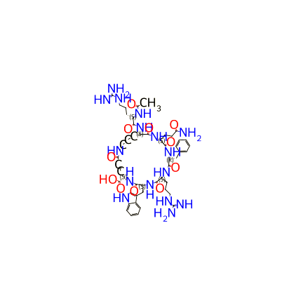 CC(=O)N[C@@H](CCCNC(=N)N)C(=O)N[C@H]1CCCNC(=O)CC[C@@H](C(=O)O)NC(=O)[C@H](Cc2c[nH]c3ccccc23)NC(=O)[C@H](CCCNC(=N)N)NC(=O)[C@@H](Cc2ccccc2)NC(=O)[C@H](CCC(N)=O)NC1=O